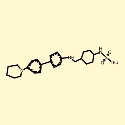 CC(C)(C)S(=O)(=O)NC1CCC(CNc2ccc(-c3ccc(N4CCCCC4)cc3)cc2)CC1